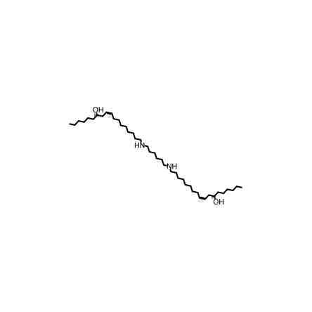 CCCCCC[C@@H](O)C/C=C\CCCCCCCCNCCCCCCNCCCCCCCC/C=C\C[C@H](O)CCCCCC